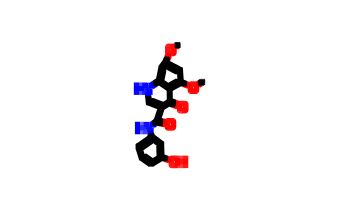 COc1cc(OC)c2c(=O)c(C(=O)Nc3cccc(O)c3)c[nH]c2c1